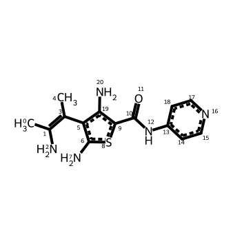 C/C(N)=C(\C)c1c(N)sc(C(=O)Nc2ccncc2)c1N